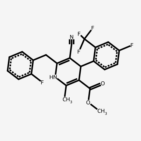 COC(=O)C1=C(C)NC(Cc2ccccc2F)=C(C#N)C1c1ccc(F)cc1C(F)(F)F